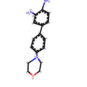 Nc1ccc(-c2ccc(N3CCOCC3)cc2)cc1N